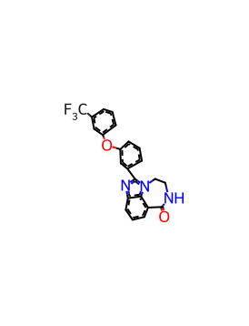 O=C1NCCn2c(-c3cccc(Oc4cccc(C(F)(F)F)c4)c3)nc3cccc1c32